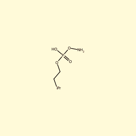 CC(C)CCOP(=O)(O)ON